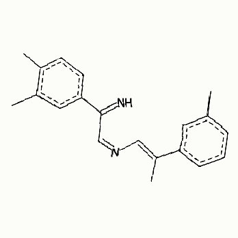 C/C(=C\N=C/C(=N)c1ccc(C)c(C)c1)c1cccc(C)c1